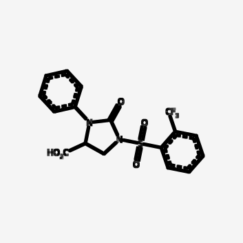 O=C(O)C1CN(S(=O)(=O)c2ccccc2C(F)(F)F)C(=O)N1c1ccccc1